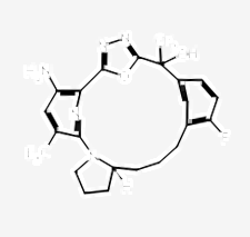 Nc1cc(C(F)(F)F)c2nc1-c1nnc(o1)C(O)(C(F)(F)F)c1ccc(F)c(c1)CCC[C@@H]1CCCN21